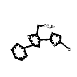 CCOC(=O)Cc1oc(-c2ccccc2)cc1-c1ccc(Cl)s1